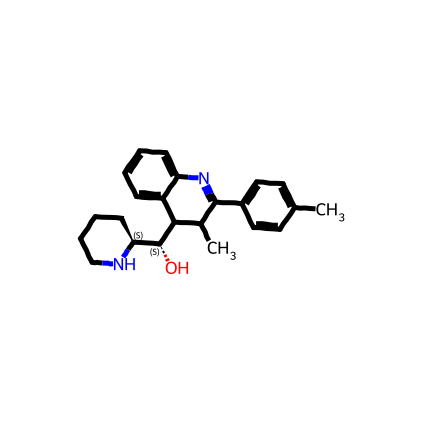 Cc1ccc(C2=Nc3ccccc3C([C@H](O)[C@@H]3CCCCN3)C2C)cc1